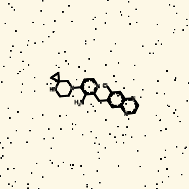 Nc1c(N2CCNC3(CC3)C2)ccnc1Cc1cc2nccnc2cc1Cl